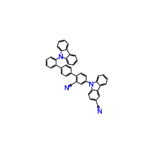 N#Cc1ccc2c(c1)c1ccccc1n2-c1ccc(-c2ccc(-c3ccccc3-n3c4ccccc4c4ccccc43)cc2)c(C#N)c1